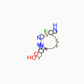 CC(Cc1cccc([C@@]2(C)CCCC(C)(C)CSCCc3c(c(F)cc4[nH]ccc34)Sc3ccnc(c3)-c3nc2nn3C)c1)C(=O)O